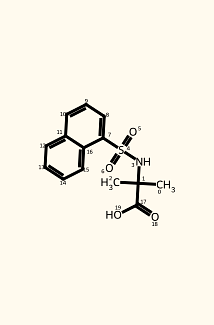 CC(C)(NS(=O)(=O)c1cccc2ccccc12)C(=O)O